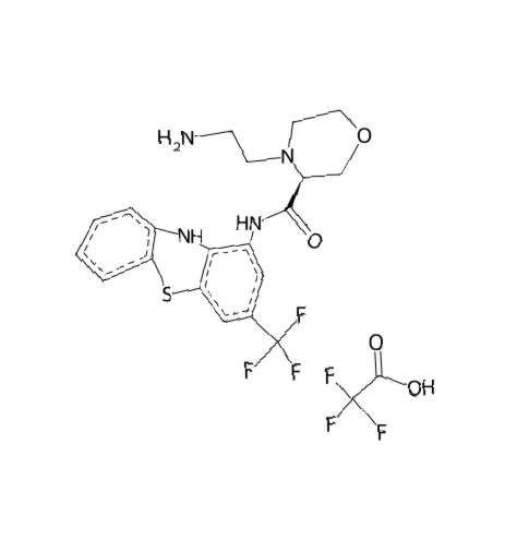 NCCN1CCOC[C@H]1C(=O)Nc1cc(C(F)(F)F)cc2c1Nc1ccccc1S2.O=C(O)C(F)(F)F